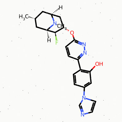 C[C@@H]1C[C@H]2C[C@H](Oc3ccc(-c4ccc(-n5ccnc5)cc4O)nn3)[C@@H](F)[C@@H](C1)N2C